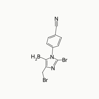 Bc1c(CBr)nc(Br)n1-c1ccc(C#N)cc1